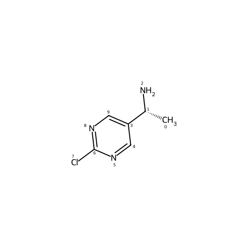 C[C@@H](N)c1cnc(Cl)nc1